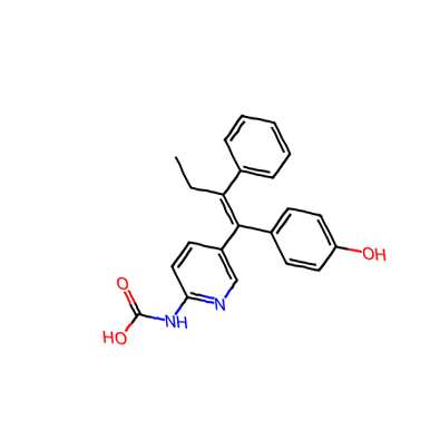 CCC(=C(c1ccc(O)cc1)c1ccc(NC(=O)O)nc1)c1ccccc1